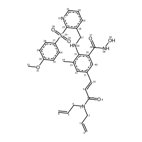 C=CCN(CC=C)C(=O)C=Cc1cc(C)c(NCc2cccnc2S(=O)(=O)c2ccc(OC)cc2)c(C(=O)NO)c1